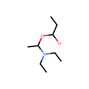 CCC([O])OC(C)N(CC)CC